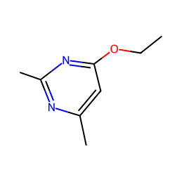 CCOc1cc(C)nc(C)n1